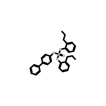 CCCc1ccccc1OP(=O)(Oc1ccc(-c2ccccc2)cc1)Oc1ccccc1CCC